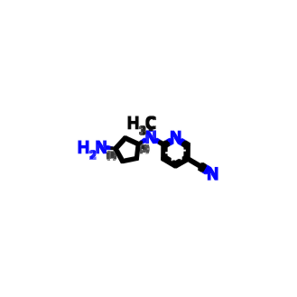 CN(c1ccc(C#N)cn1)[C@H]1CC[C@@H](N)C1